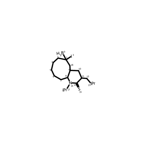 BC1(I)CCCCCC2C(CC(CC(C)C)C(=S)N2C(C)C)C1